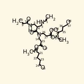 C=CNCC(CNC(=O)C=C)C(=O)N(CCC(=O)ON(C)CCCC=O)CCC(=O)ON(C)C(=O)CCC=O